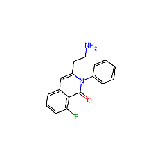 NCCc1cc2cccc(F)c2c(=O)n1-c1ccccc1